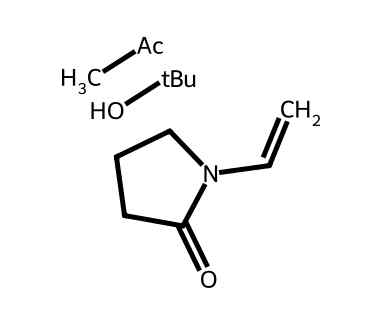 C=CN1CCCC1=O.CC(C)(C)O.CC(C)=O